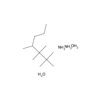 CCCC(C)C(C)(C)C(C)(C)C.N.N.O.O